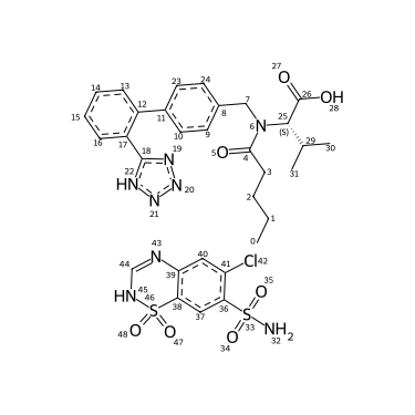 CCCCC(=O)N(Cc1ccc(-c2ccccc2-c2nnn[nH]2)cc1)[C@H](C(=O)O)C(C)C.NS(=O)(=O)c1cc2c(cc1Cl)N=CNS2(=O)=O